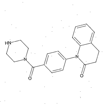 O=C(c1ccc(N2C(=O)CCc3ccccc32)cc1)N1CCNCC1